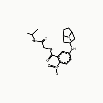 CC(C)NC(=O)CNC(=O)c1cc(NC2CC3CCC(C2)N3C)ccc1[N+](=O)[O-]